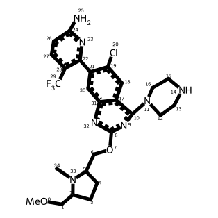 COCC1CCC(COc2nc(N3CCNCC3)c3cc(Cl)c(-c4nc(N)ccc4C(F)(F)F)cc3n2)N1C